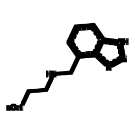 CCCCCCCCCCNCc1cccc2[nH]nnc12